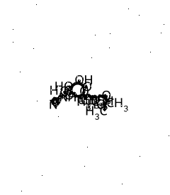 CCC(O)C(C)C1OC1CC(C)(O)/C=C/C=C(\C)C1OC(=O)CC(O)CCC(C)(O)C(OC(=O)NCc2ccncc2)/C=C/C1C